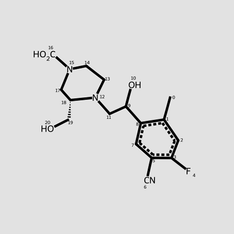 Cc1cc(F)c(C#N)cc1C(O)CN1CCN(C(=O)O)C[C@H]1CO